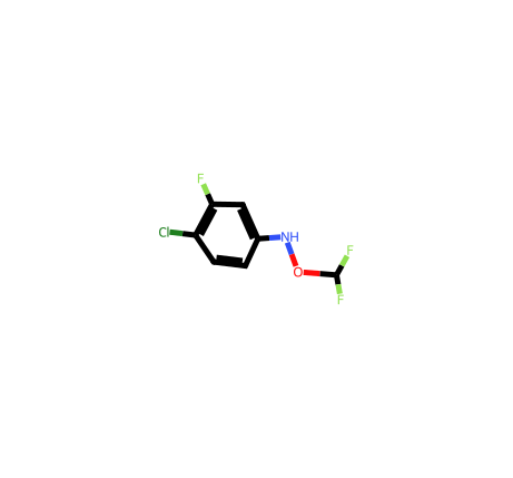 Fc1cc(NOC(F)F)ccc1Cl